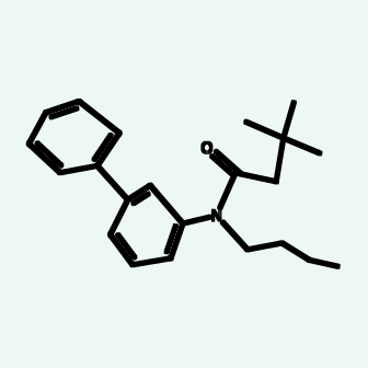 CCCCN(C(=O)CC(C)(C)C)c1cccc(-c2ccccc2)c1